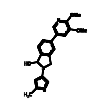 COc1cc(-c2ccc3c(c2)CN(c2csc(C)c2)C3O)cnc1OC